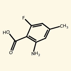 Cc1cc(N)c(C(=O)O)c(F)c1